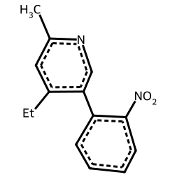 CCc1cc(C)ncc1-c1ccccc1[N+](=O)[O-]